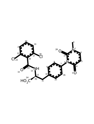 Cn1ccc(=O)n(-c2ccc(C[C@H](NC(=O)c3c(Cl)cccc3Cl)C(=O)O)cc2)c1=O